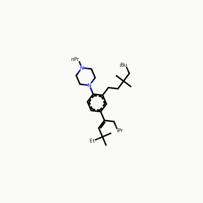 CCCN1CCN(c2ccc(/C(=C/C(C)(C)CC)CC(C)C)cc2CCC(C)(C)CC(C)CC)CC1